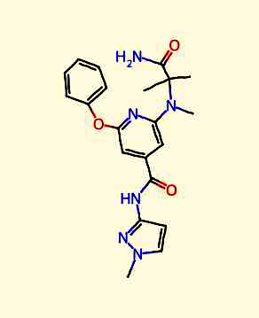 CN(c1cc(C(=O)Nc2ccn(C)n2)cc(Oc2ccccc2)n1)C(C)(C)C(N)=O